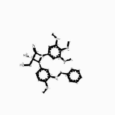 COc1ccc([C@@H]2N(c3cc(OC)c(OC)c(OC)c3)C(=O)[C@]2(O)CO)cc1OCc1ccccc1